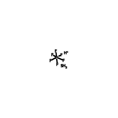 F[P-](F)(F)(F)(F)F.S.[H+]